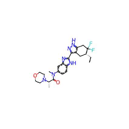 CC[C@@H]1Cc2c(-c3nc4cc(N(C)C(=O)[C@H](C)N5CCOCC5)ccc4[nH]3)n[nH]c2CC1(F)F